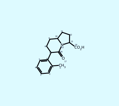 Cc1ccccc1C1CCC2CCC(C(=O)O)N2C1=O